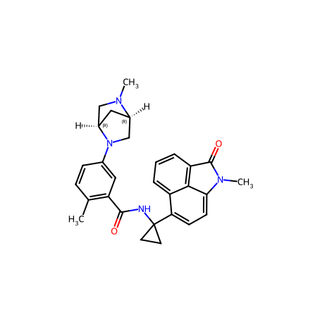 Cc1ccc(N2C[C@H]3C[C@@H]2CN3C)cc1C(=O)NC1(c2ccc3c4c(cccc24)C(=O)N3C)CC1